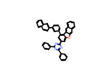 c1ccc(-c2nc(-c3ccccc3)nc(-c3cc(-c4cccc(-c5ccc6ccccc6c5)c4)c4c(c3)oc3cc5ccccc5cc34)n2)cc1